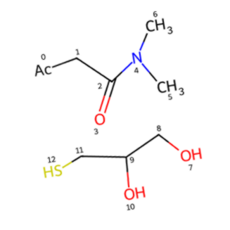 CC(=O)CC(=O)N(C)C.OCC(O)CS